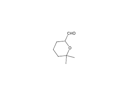 CC1(C)CCCC(C=O)O1